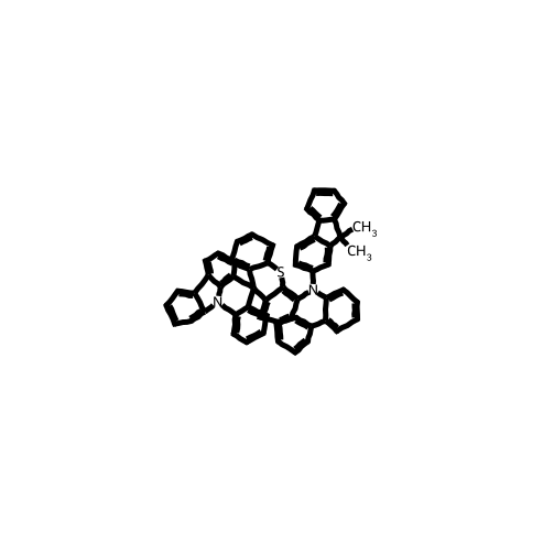 CC1(C)c2ccccc2-c2ccc(N(c3ccccc3-c3ccccc3)c3cccc4c3Sc3ccccc3C43c4ccccc4-n4c5ccccc5c5cccc3c54)cc21